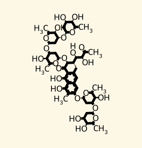 CC(=O)[C@H](O)[C@@H](O)[C@@H]1Cc2cc3cc(O[C@H]4CC(O[C@H]5CC(O)[C@H](O)C(C)O5)[C@H](O)C(C)O4)c(C)c(O)c3c(O)c2C(=O)[C@H]1O[C@H]1CC(O[C@H]2C[C@@H](O[C@H]3C[C@@H](O)[C@H](O)C(C)O3)[C@@H](O)C(C)O2)[C@H](O)C(C)O1